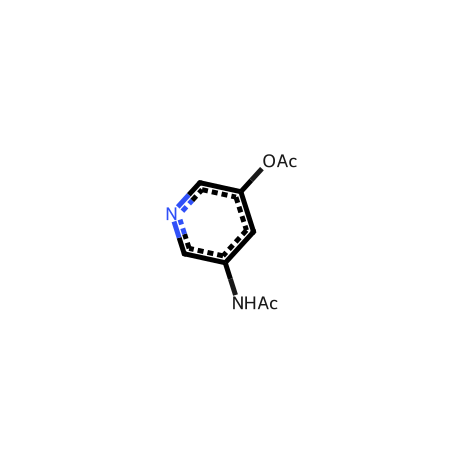 CC(=O)Nc1cncc(OC(C)=O)c1